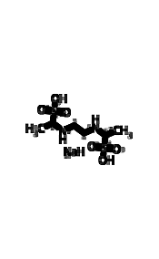 CC(NCCNC(C)S(=O)(=O)O)S(=O)(=O)O.[NaH]